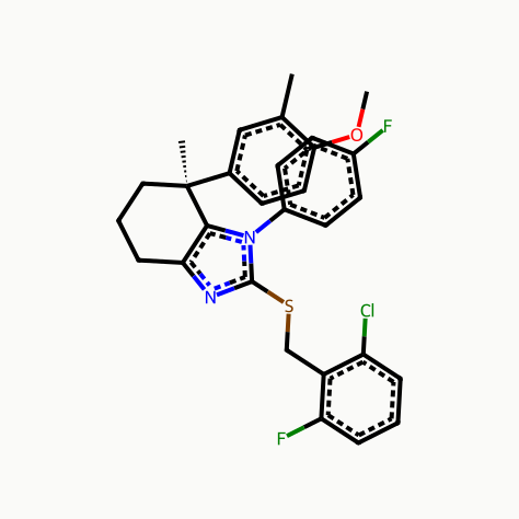 COc1ccc([C@]2(C)CCCc3nc(SCc4c(F)cccc4Cl)n(-c4ccc(F)cc4)c32)cc1C